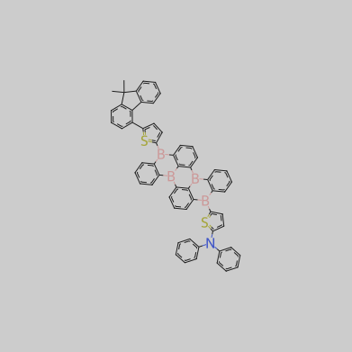 CC1(C)c2ccccc2-c2c(-c3ccc(B4c5ccccc5B5c6cccc7c6B(c6ccccc6B7c6ccc(N(c7ccccc7)c7ccccc7)s6)c6cccc4c65)s3)cccc21